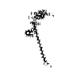 CCCCCCCCCCCCCCCCCCOC[C@H](COP(=O)(O)OC[C@H]1O[C@@](C#N)(c2ccc3c(C)ncnn23)[C@H](O)[C@@H]1O)OCc1ccccc1Cl